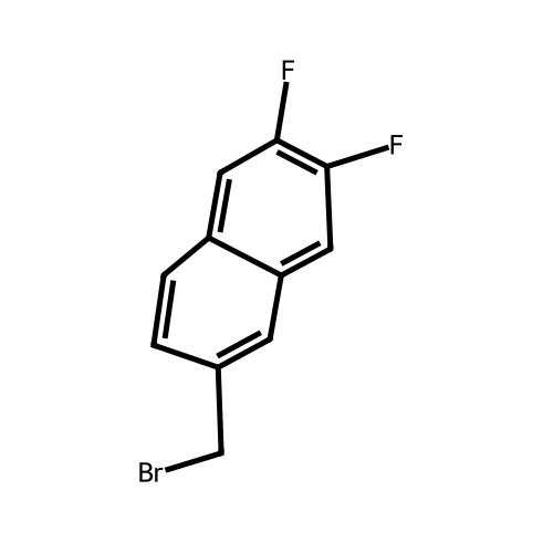 Fc1cc2ccc(CBr)cc2cc1F